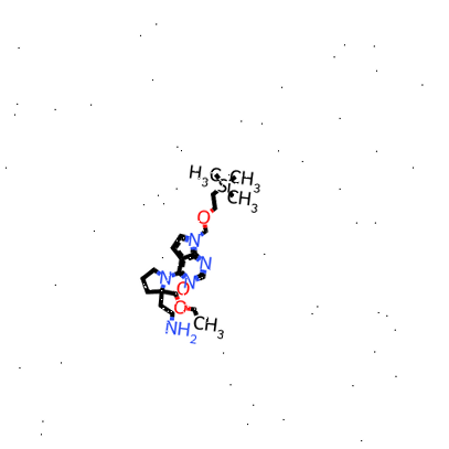 CCOC(=O)C1(CCN)CCCN1c1ncnc2c1ccn2COCC[Si](C)(C)C